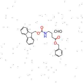 O=C[C@@H](CNC(=O)OCC1c2ccccc2-c2ccccc21)CC(=O)OCc1ccccc1